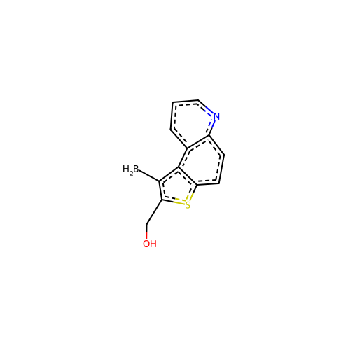 Bc1c(CO)sc2ccc3ncccc3c12